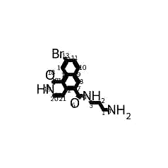 NCCCNC(=O)c1cc2ccc(Br)cc2c2c(=O)[nH]ccc12